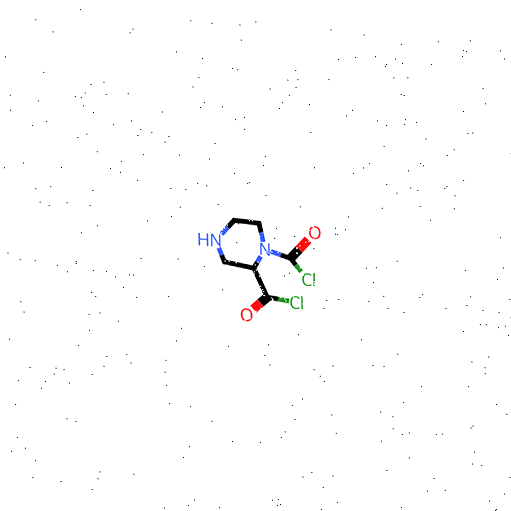 O=C(Cl)C1CNCCN1C(=O)Cl